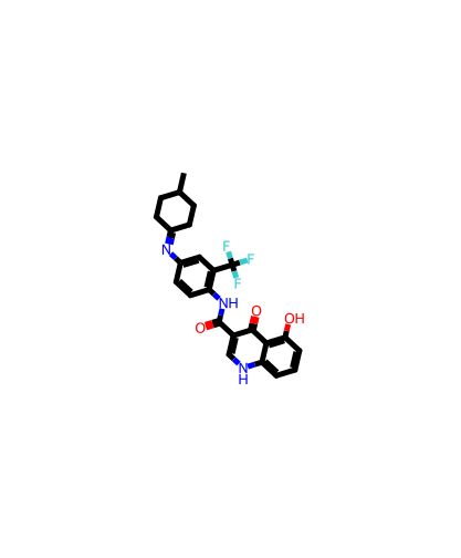 CC1CCC(=Nc2ccc(NC(=O)c3c[nH]c4cccc(O)c4c3=O)c(C(F)(F)F)c2)CC1